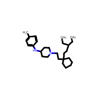 CC(=O)OCC(CCC1(CCN2CCC(Nc3ccc(C)cc3)CC2)CCCCC1)COC(C)=O